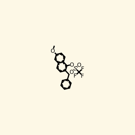 COc1ccc2c(OS(=O)(=O)C(F)(F)F)c(Cc3ccccc3)ccc2c1